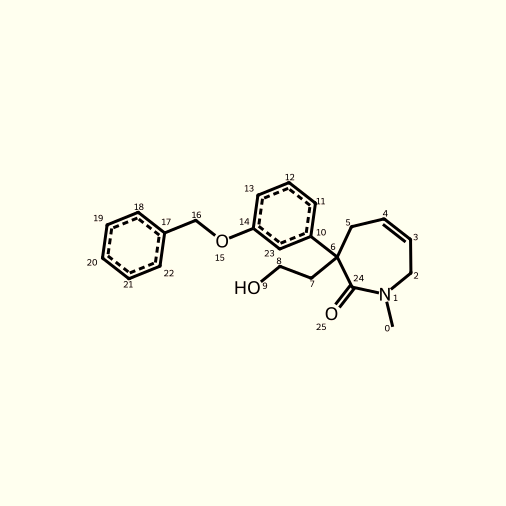 CN1CC=CCC(CCO)(c2cccc(OCc3ccccc3)c2)C1=O